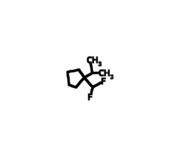 CC(C)C1(C(F)F)CCCC1